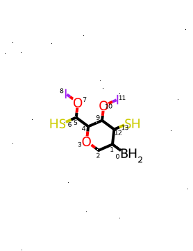 BC1COC(C(S)OI)C(OI)C1S